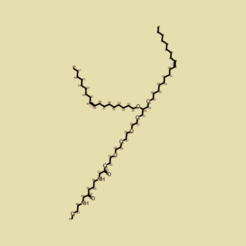 CCCCCCCC/C=C\CCCCCCCCOCC(COCCOCCOCCOCCOC(=O)CNCCCC(=O)CNCCOC)OCCCCCCCC/C=C\CCCCCCCC